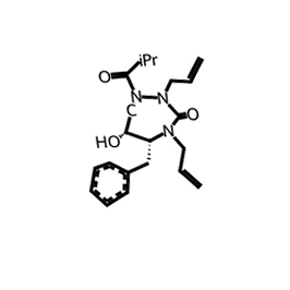 C=CCN1C(=O)N(CC=C)N(C(=O)C(C)C)C[C@@H](O)[C@H]1Cc1ccccc1